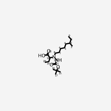 CCC(C)CCCCCN(NC(=O)OC(C)(C)C)C(CC)C(=O)O